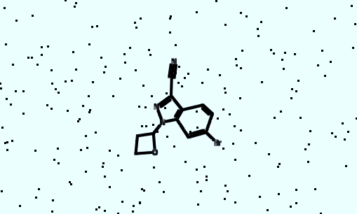 N#Cc1nn(C2CCO2)c2cc(Br)ccc12